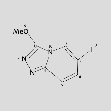 COc1nnc2ccc(I)cn12